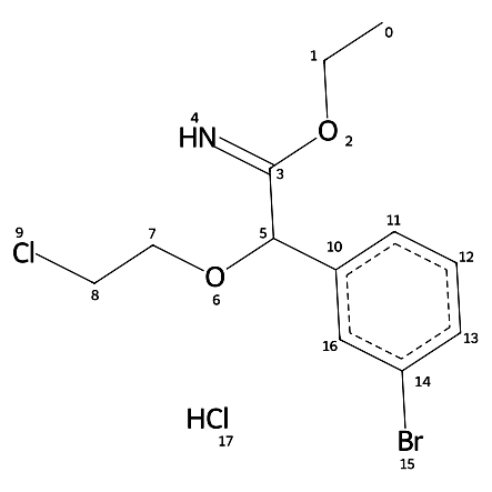 CCOC(=N)C(OCCCl)c1cccc(Br)c1.Cl